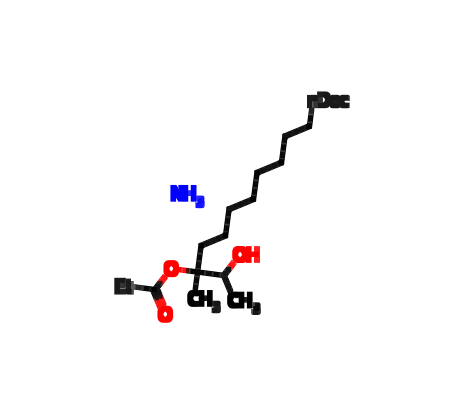 CCCCCCCCCCCCCCCCCCC(C)(OC(=O)CC)C(C)O.N